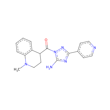 CN1CCC(C(=O)n2nc(-c3ccncc3)nc2N)c2ccccc21